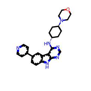 c1cc(-c2ccc3[nH]c4ncnc(N[C@H]5CC[C@H](N6CCOCC6)CC5)c4c3c2)ccn1